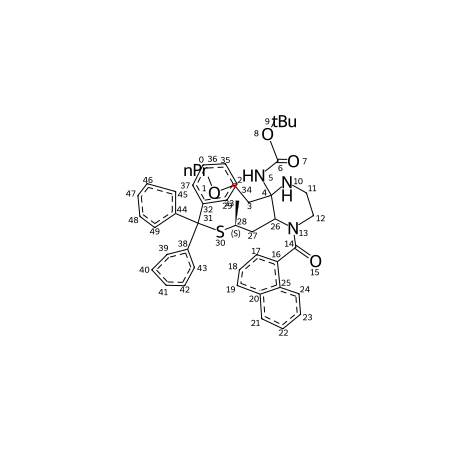 CCCOCCC1(NC(=O)OC(C)(C)C)NCCN(C(=O)c2cccc3ccccc23)C1C[C@H](C)SC(c1ccccc1)(c1ccccc1)c1ccccc1